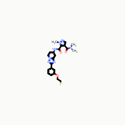 CN(C)C(=O)c1cnn(C)c1C(=O)Nc1ccn2nc(-c3cccc(OCCF)c3)nc2c1